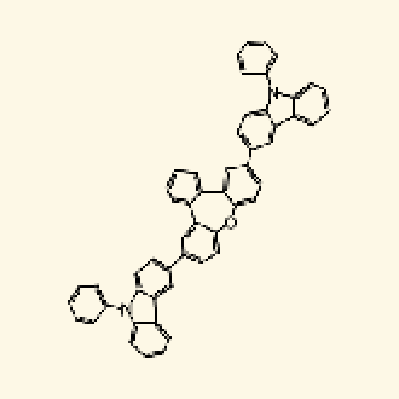 c1ccc(-n2c3ccccc3c3cc(-c4ccc5c(c4)-c4ccccc4-c4cc(-c6ccc7c(c6)c6ccccc6n7-c6ccccc6)ccc4O5)ccc32)cc1